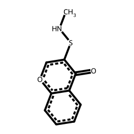 CNSc1coc2ccccc2c1=O